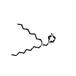 CCCCCCCCN(CCCCCCCC)Cn1ccnc1